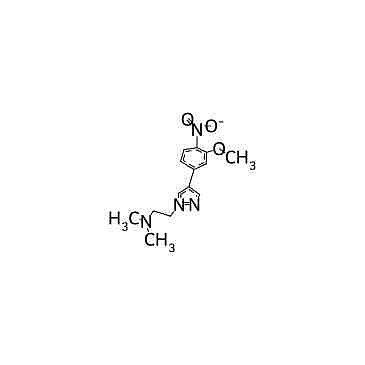 COc1cc(-c2cnn(CCN(C)C)c2)ccc1[N+](=O)[O-]